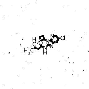 CC(C)CC(=O)Nc1nc2cc(Cl)cnc2n1C1CCC1